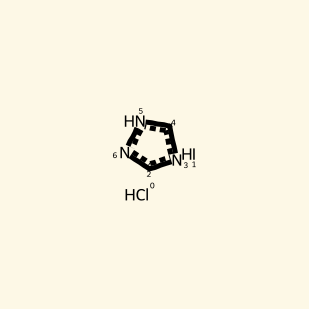 Cl.I.c1nc[nH]n1